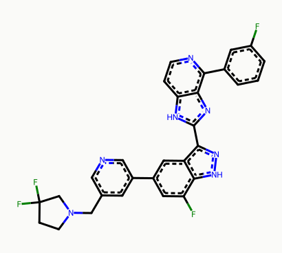 Fc1cccc(-c2nccc3[nH]c(-c4n[nH]c5c(F)cc(-c6cncc(CN7CCC(F)(F)C7)c6)cc45)nc23)c1